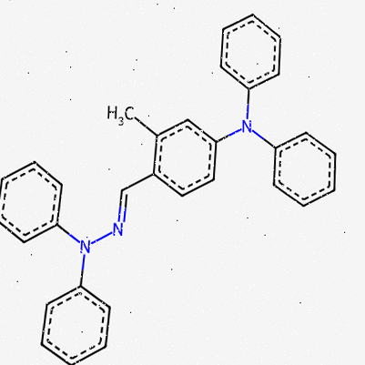 Cc1cc(N(c2ccccc2)c2ccccc2)ccc1C=NN(c1ccccc1)c1ccccc1